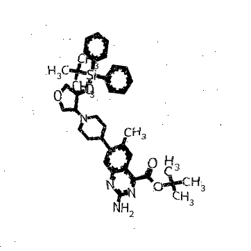 Cc1cc2c(C(=O)OC(C)(C)C)nc(N)nc2cc1C1CCN(C2COCC2O[Si](c2ccccc2)(c2ccccc2)C(C)(C)C)CC1